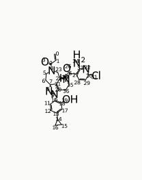 C=CC(=O)N1CCc2nn(-c3ccc(C4CC4)cc3O)c3c2[C@H](C1)N(C(=O)c1ccc(Cl)nc1N)CC3